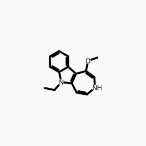 CCn1c2c(c3ccccc31)C(OC)=CNC=C2